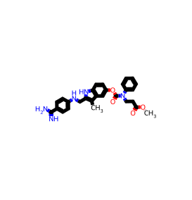 COC(=O)CCN(C(=O)Oc1ccc2[nH]c(CNc3ccc(C(=N)N)cc3)c(C)c2c1)c1ccccc1